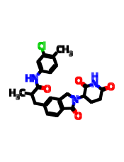 Cc1ccc(NC(=O)C(C)Cc2ccc3c(c2)CN(C2CCC(=O)NC2=O)C3=O)cc1Cl